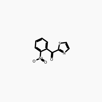 O=C(c1nccs1)c1ccccc1[N+](=O)[O-]